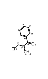 CN(CCl)C(=O)c1ccccc1